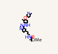 COC(C)(C)C(=O)NC/C=C/c1ccc2ncnc(Nc3ccc(Oc4ccc(C)nc4)c(C)c3)c2c1